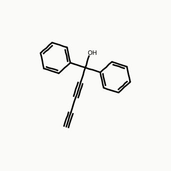 C#CC#CC(O)(c1ccccc1)c1ccccc1